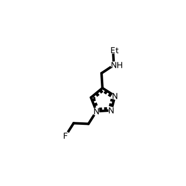 CCNCc1cn(CCF)nn1